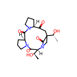 C[C@@H](O)[C@H]1C(=O)N2CCC[C@H]2C(=O)N2CCC[C@H]2C(=O)CC2([C@@H](C)O)CN1C2=O